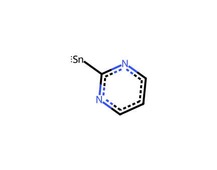 [Sn][c]1ncccn1